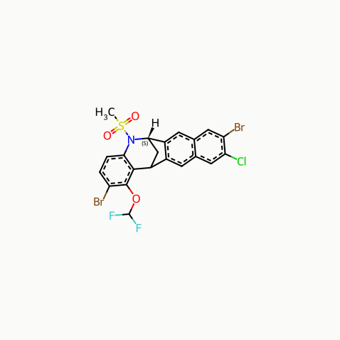 CS(=O)(=O)N1c2ccc(Br)c(OC(F)F)c2C2C[C@H]1c1cc3cc(Br)c(Cl)cc3cc12